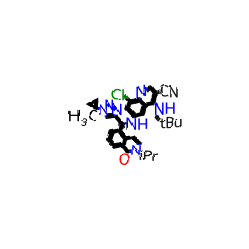 CC(C)n1ccc2c([C@H](Nc3cc(Cl)c4ncc(C#N)c(NCC(C)(C)C)c4c3)c3cn(C4(C)CC4)nn3)cccc2c1=O